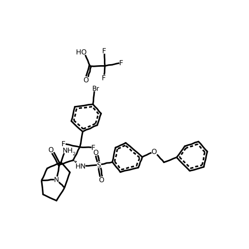 NC1CC2CCC(C1)N2C(=O)[C@@H](NS(=O)(=O)c1ccc(OCc2ccccc2)cc1)C(F)(F)c1ccc(Br)cc1.O=C(O)C(F)(F)F